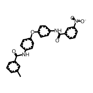 Cc1cccc(C(=O)Nc2ccc(Oc3ccc(NC(=O)c4cccc([N+](=O)[O-])c4)cc3)cc2)c1